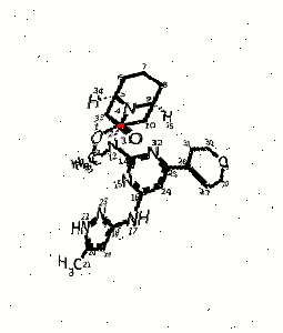 COC(=O)N1[C@@H]2CCC[C@H]1C[C@H](N(C)c1nc(Nc3cc(C)[nH]n3)cc(C3=CCOCC3)n1)C2